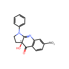 O=C1c2ccc([N+](=O)[O-])cc2N=C2N(c3ccccc3)CC[C@@]12O